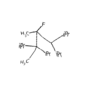 CC(C)C(C(C)C)C(C)(F)C(C)(C(C)C)C(C)C